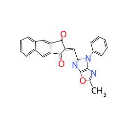 Cc1nc2c(nc(C=C3C(=O)c4cc5ccccc5cc4C3=O)n2-c2ccccc2)o1